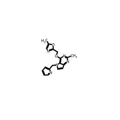 Cc1nc(OCc2ncc(C)o2)c2c(ccn2Cc2ccccn2)n1